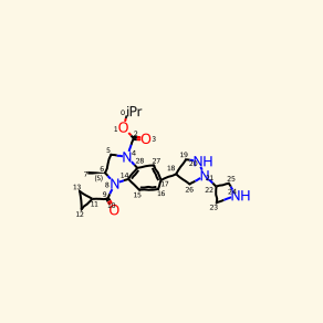 CC(C)OC(=O)N1C[C@H](C)N(C(=O)C2CC2)c2ccc(C3CNN(C4CNC4)C3)cc21